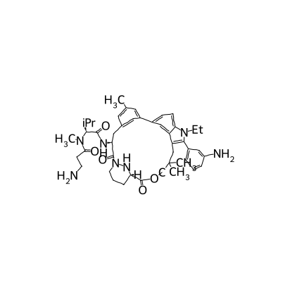 CCn1c(-c2cccc(N)c2)c2c3cc(ccc31)-c1cc(C)cc(c1)C[C@H](NC(=O)[C@H](C(C)C)N(C)C(=O)CCN)C(=O)N1CCC[C@H](N1)C(=O)OCC(C)(C)C2